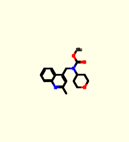 Cc1cc(CN(C(=O)OC(C)(C)C)C2CCOCC2)c2ccccc2n1